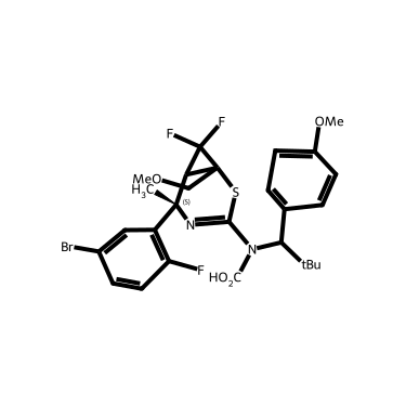 COCC12SC(N(C(=O)O)C(c3ccc(OC)cc3)C(C)(C)C)=N[C@](C)(c3cc(Br)ccc3F)C1C2(F)F